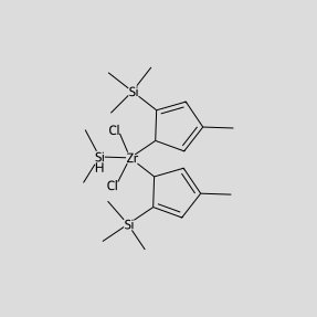 CC1=C[CH]([Zr]([Cl])([Cl])([CH]2C=C(C)C=C2[Si](C)(C)C)[SiH](C)C)C([Si](C)(C)C)=C1